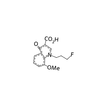 COc1cccc2c(=O)c(C(=O)O)cn(CCCF)c12